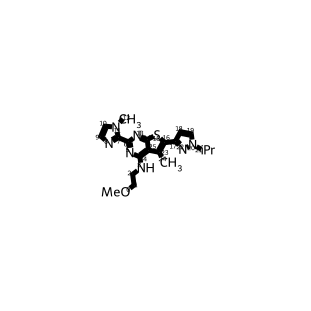 COCCNc1nc(-c2nccn2C)nc2sc(-c3ccn(C(C)C)n3)c(C)c12